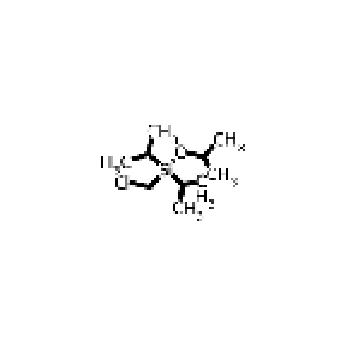 CC(C)O[Si](CCl)(C(C)C)C(C)C